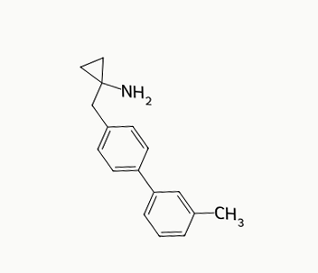 Cc1cccc(-c2ccc(CC3(N)CC3)cc2)c1